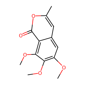 COc1cc2cc(C)oc(=O)c2c(OC)c1OC